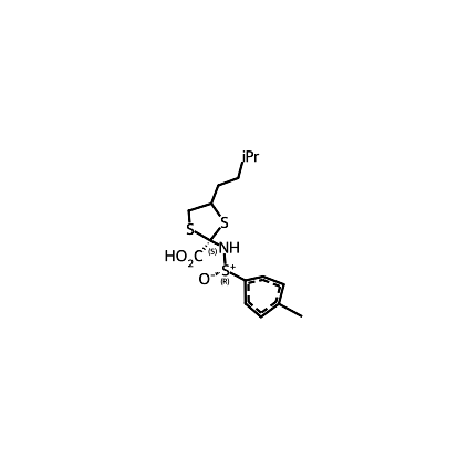 Cc1ccc([S@+]([O-])N[C@@]2(C(=O)O)SCC(CCC(C)C)S2)cc1